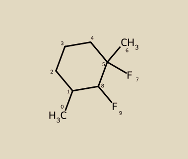 CC1CCCC(C)(F)C1F